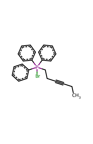 CCC#CCCP(Br)(c1ccccc1)(c1ccccc1)c1ccccc1